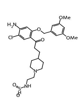 COc1cc(COc2cc(N)c(Cl)cc2C(=O)CCC2CCN(CCN[SH](=O)=O)CC2)cc(OC)c1